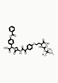 CC(C)(C)OC(=O)NC(CCOc1ccc(C(=O)C(=O)NC2CN(C(C(=O)O)c3ccc(OC(=O)c4ccccc4)cc3)C2=O)cc1)C(=O)O